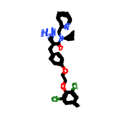 Cc1cc(Cl)c(OCCOc2ccc(CC(CN)C(=O)N(Cc3ccccn3)C3CC3)cc2)c(Cl)c1